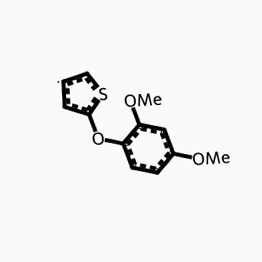 COc1ccc(Oc2c[c]cs2)c(OC)c1